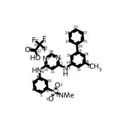 CNS(=O)(=O)c1cccc(Nc2cc(Nc3cc(C)cc(-c4ccccc4)c3)ncn2)c1.O=C(O)C(F)(F)F